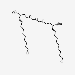 CCCCC(C=CCCCCCCCCCl)CCOCOCOCCC(C=CCCCCCCCCCl)CCCC